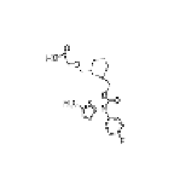 Cc1ccc(N(C(=O)OCC2CCCC(COCC(=O)O)C2)c2ccc(F)cc2)s1